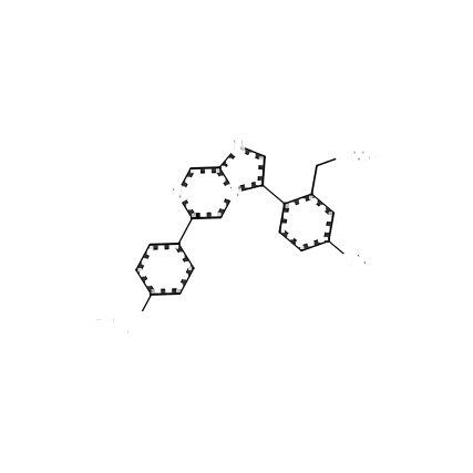 CCOC(=O)c1ccc(-c2cn3c(-c4ccc(C#N)cc4COC)cnc3cn2)cc1